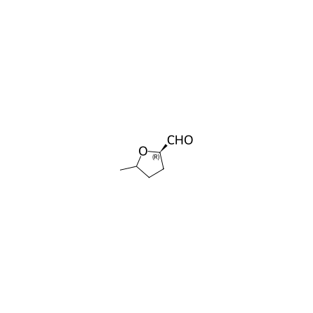 CC1CC[C@H](C=O)O1